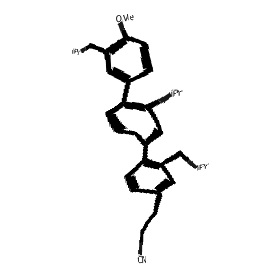 COc1ccc(-c2ccc(-c3ccc(CCC#N)cc3CC(C)C)cc2C(C)C)cc1CC(C)C